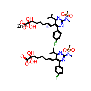 CC(C)c1nc(N(C)S(C)(=O)=O)nc(-c2ccc(F)cc2)c1/C=C/CCCCC(O)(O)C(=O)[O-].CC(C)c1nc(N(C)S(C)(=O)=O)nc(-c2ccc(F)cc2)c1C=CCCCCC(O)(O)C(=O)[O-].[Zn+2]